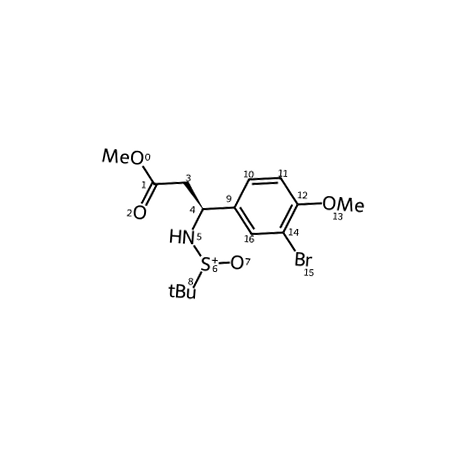 COC(=O)C[C@H](N[S+]([O-])C(C)(C)C)c1ccc(OC)c(Br)c1